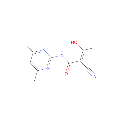 CC(O)=C(C#N)C(=O)Nc1nc(C)cc(C)n1